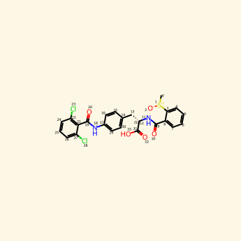 C[S+]([O-])c1ccccc1C(=O)N[C@@H](Cc1ccc(NC(=O)c2c(Cl)cccc2Cl)cc1)C(=O)O